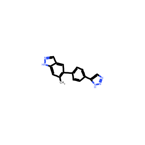 Cc1cc2[nH]ncc2cc1-c1ccc(-c2cnn[nH]2)cc1